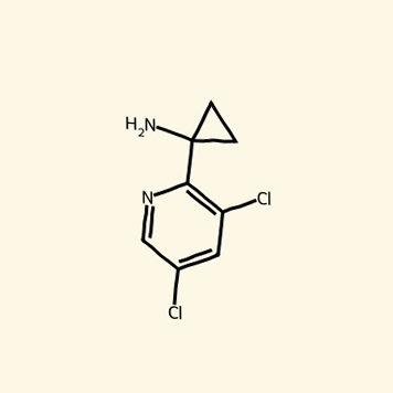 NC1(c2ncc(Cl)cc2Cl)CC1